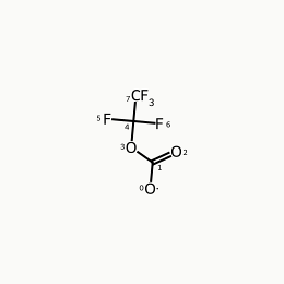 [O]C(=O)OC(F)(F)C(F)(F)F